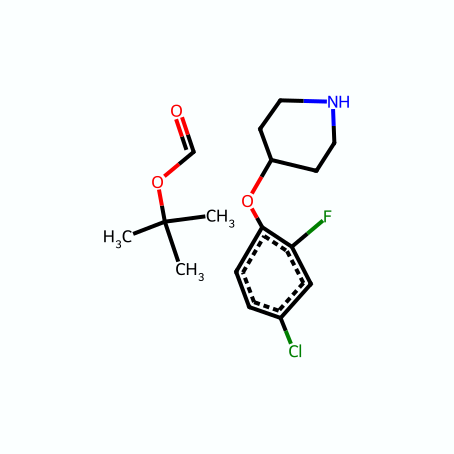 CC(C)(C)OC=O.Fc1cc(Cl)ccc1OC1CCNCC1